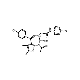 CC(=N)N1C(=N)[C@H](CC(=O)Nc2ccc(O)cc2)N=C(c2ccc(Cl)cc2)c2c1sc(C)c2C